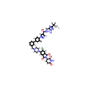 Cc1cc(-c2cccc(CN3CCN(c4cc5c(cc4F)C(=O)N(C4CCC(=O)NC4=O)C5=O)CC3)c2)ccc1-n1cc(C(=O)NCc2nc(C(C)(C)C(F)(F)F)n[nH]2)cn1